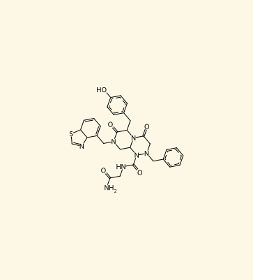 NC(=O)CNC(=O)N1C2CN(CC3=CC=CC4SC=NC34)C(=O)C(Cc3ccc(O)cc3)N2C(=O)CN1Cc1ccccc1